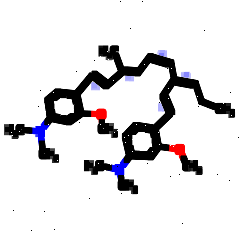 CC/C=C(/C=C\C=C(C)\C=C\c1ccc(N(C)C)cc1OC)\C=C\c1ccc(N(C)C)cc1OC